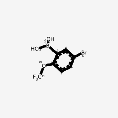 OB(O)c1cc(Br)ccc1OC(F)(F)F